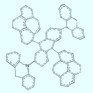 c1ccc2c(c1)Cc1ccccc1N2c1ccc2c(-c3ccc4ccc5cccc6ccc3c4c56)c3cc(N4c5ccccc5Cc5ccccc54)ccc3c(-c3ccc4ccc5cccc6ccc3c4c56)c2c1